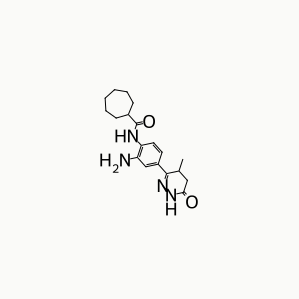 CC1CC(=O)NN=C1c1ccc(NC(=O)C2CCCCCC2)c(N)c1